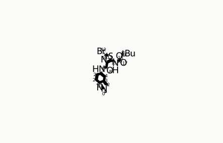 Cn1cc2cc(NC(=O)c3nc(Br)sc3NC(=O)OC(C)(C)C)ccc2n1